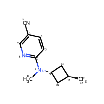 CN(c1ccc(C#N)cn1)[C@H]1C[C@H](C(F)(F)F)C1